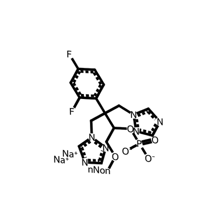 CCCCCCCCCOCC(OP(=O)([O-])[O-])C(Cn1cncn1)(Cn1cncn1)c1ccc(F)cc1F.[Na+].[Na+]